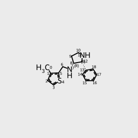 Cc1ccsc1CN[C@@H]1CCN[C@@H]1c1ccccc1